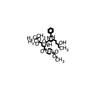 CCOC(=O)N1CCN(C(=O)C(CCC(=O)OC(C)(C)C)NC(=O)c2cc(CCC(O)CC)nc(-c3ccccc3)n2)CC1